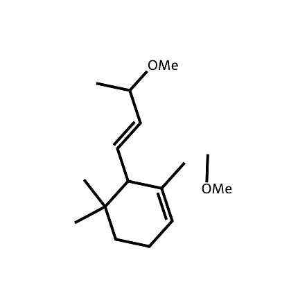 COC.COC(C)C=CC1C(C)=CCCC1(C)C